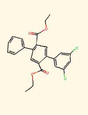 CCOC(=O)c1cc(-c2cc(Cl)cc(Cl)c2)c(C(=O)OCC)cc1-c1ccccc1